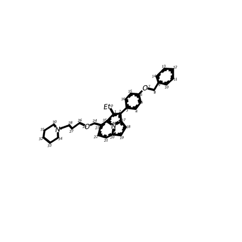 CCc1c(-c2ccc(OCc3ccccc3)cc2)c2ccc3ccc(COCCCN4CCCCC4)c1n32